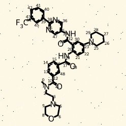 CN(CCN1CCOCC1)C(=O)c1cccc(C(=O)Nc2ccc(N3CCCCC3)cc2C(=O)Nc2cnc(-c3cccc(C(F)(F)F)c3)nc2)c1